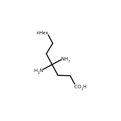 CCCCCCCCC(N)(N)CCC(=O)O